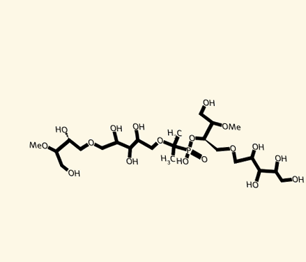 COC(CO)[C@H](O)COCC(O)C(O)C(O)COC(C)(C)P(=O)(O)O[C@H](COCC(O)C(O)C(O)CO)C(CO)OC